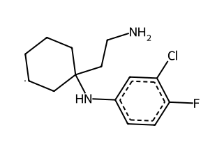 NCCC1(Nc2ccc(F)c(Cl)c2)C[CH]CCC1